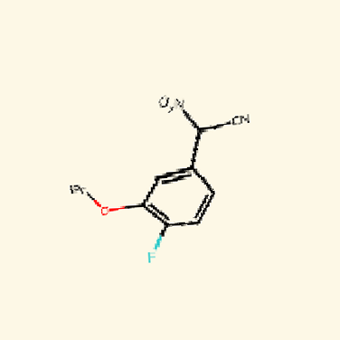 CC(C)Oc1cc(C(C#N)[N+](=O)[O-])ccc1F